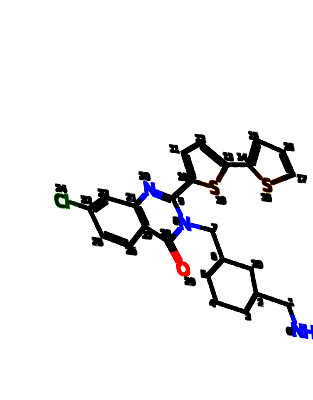 NCC1CCCC(Cn2c(-c3ccc(-c4cccs4)s3)nc3cc(Cl)ccc3c2=O)C1